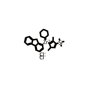 CC1=[C]([Zr+2](=[C]2CCCCC2)[c]2cccc3c2Cc2ccccc2-3)C(C)C=C1[Si](C)(C)C.[Cl-].[Cl-]